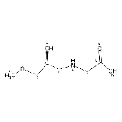 COC[C@@H](O)CNCC(=O)O